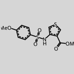 COC(=O)c1cscc1NS(=O)(=O)c1ccc(OC)cc1